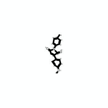 COc1ccc(C2=CC(=O)N(c3ccc(C)cc3)C2=O)cc1